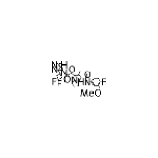 COCc1cc(NC(=O)c2c(C)c(C(=O)C(=O)NC3(c4nncs4)CC(F)(F)C3)n3c2CCC3)ccc1F